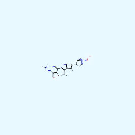 Cc1nc2c3c(c(-c4[nH]c5sc([C@@H]6C[C@@H]7C[C@H]6CN7C(=O)O)c(C)c5c4C(C)C)cn2n1)COC3